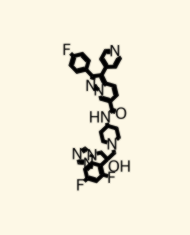 O=C(NC1CCN(CC(O)(Cn2cncn2)c2ccc(F)cc2F)CC1)c1ccc2c(-c3ccncc3)c(-c3ccc(F)cc3)nn2c1